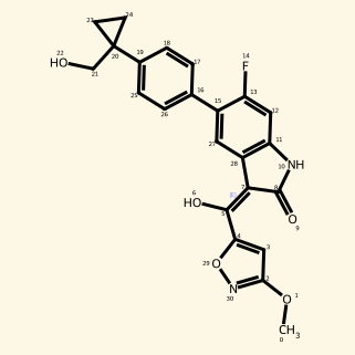 COc1cc(/C(O)=C2\C(=O)Nc3cc(F)c(-c4ccc(C5(CO)CC5)cc4)cc32)on1